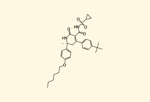 CCCCCCOc1ccc([C@]2(C)CC(c3ccc(C(C)(C)C)cc3)=C(C(=O)NS(=O)(=O)C3CC3)C(=O)N2)cc1